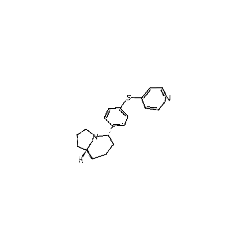 c1cc(Sc2ccc([C@@H]3CCC[C@@H]4CCCN43)cc2)ccn1